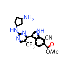 COC(=O)c1ccc2c(-c3nc(N[C@H]4CC[C@H](N)C4)ncc3C(F)(F)F)c[nH]c2c1C#N